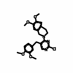 COc1ccc(Cc2cnc(Cl)nc2N2CCc3cc(OC)c(OC)cc3C2)cc1OC